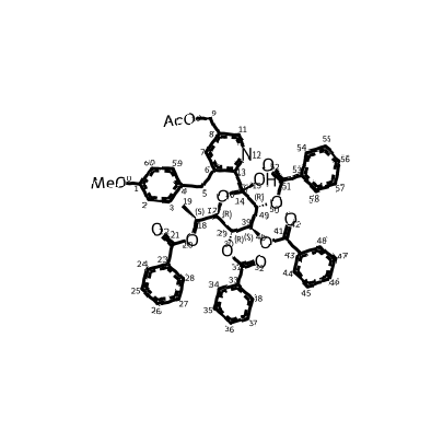 COc1ccc(Cc2cc(COC(C)=O)cnc2[C@@]2(O)O[C@H]([C@H](C)OC(=O)c3ccccc3)[C@@H](OC(=O)c3ccccc3)[C@H](OC(=O)c3ccccc3)[C@H]2OC(=O)c2ccccc2)cc1